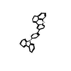 c1cc2c3c(cccc3c1)-c1cc(-c3ccc(-n4c5ccccc5c5ccccc54)cc3)ccc1S2